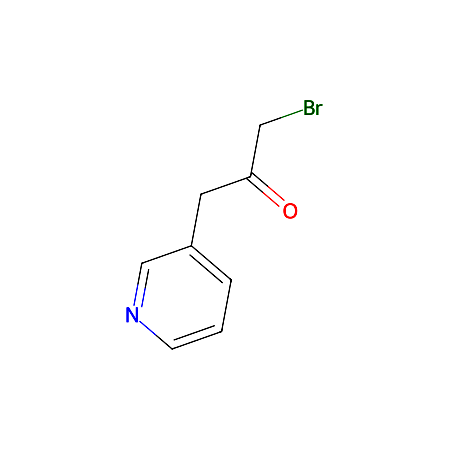 O=C(CBr)Cc1cccnc1